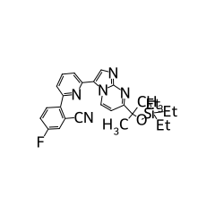 CC[Si](CC)(CC)OC(C)(C)c1ccn2c(-c3cccc(-c4ccc(F)cc4C#N)n3)cnc2n1